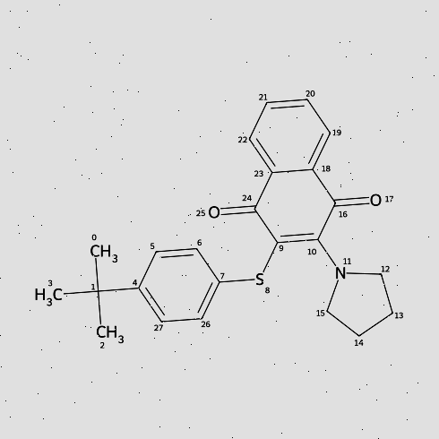 CC(C)(C)c1ccc(SC2=C(N3CCCC3)C(=O)c3ccccc3C2=O)cc1